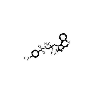 Cc1ccc(S(=O)(=O)OCC(C)(C)Cn2c(C)nc3cnc4ccccc4c32)cc1